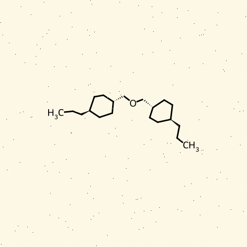 CCC[C@H]1CC[C@H](COC[C@H]2CC[C@H](CCC)CC2)CC1